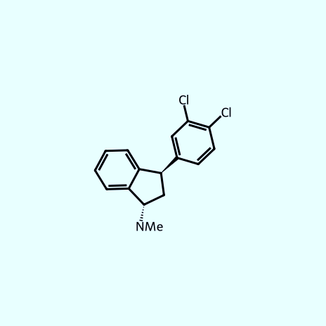 CN[C@H]1C[C@H](c2ccc(Cl)c(Cl)c2)c2ccccc21